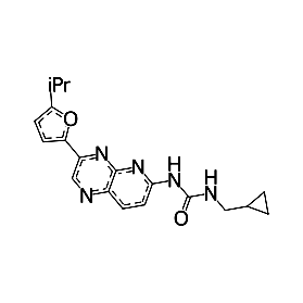 CC(C)c1ccc(-c2cnc3ccc(NC(=O)NCC4CC4)nc3n2)o1